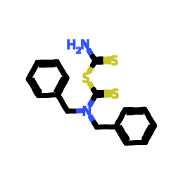 NC(=S)SC(=S)N(Cc1ccccc1)Cc1ccccc1